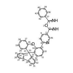 N=C(OC(=N)c1ccc(-c2cccc3c2Oc2ccccc2C32c3ccccc3-c3ccccc32)nc1)c1ccccc1